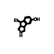 CCC1c2ccc(O)cc2C2CNCC12